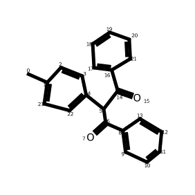 Cc1ccc(C(C(=O)c2ccccc2)C(=O)c2ccccc2)cc1